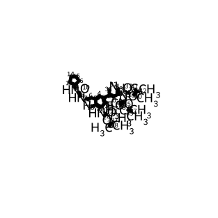 Cc1c(-c2cc3cc(NC(=O)NC4CCCC4)ncc3c(NC(=O)OC(C)(C)C)c2F)cncc1N(C(=O)OC(C)(C)C)C(=O)OC(C)(C)C